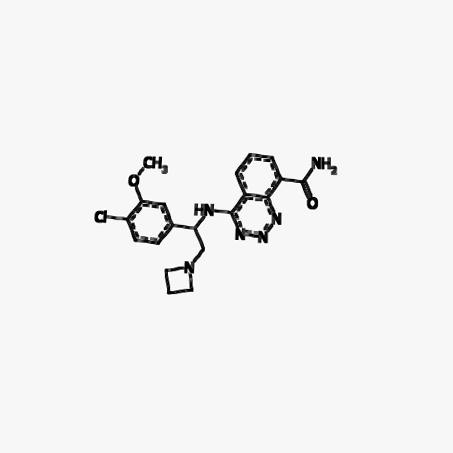 COc1cc(C(CN2CCC2)Nc2nnnc3c(C(N)=O)cccc23)ccc1Cl